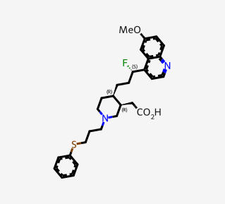 COc1ccc2nccc([C@@H](F)CC[C@@H]3CCN(CCCSc4ccccc4)C[C@@H]3CC(=O)O)c2c1